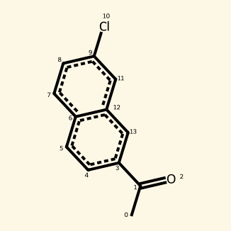 CC(=O)c1ccc2ccc(Cl)cc2c1